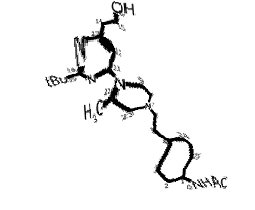 CC(=O)NC1CCC(CCN2CCN(c3cc(CCO)nc(C(C)(C)C)n3)C(C)C2)CC1